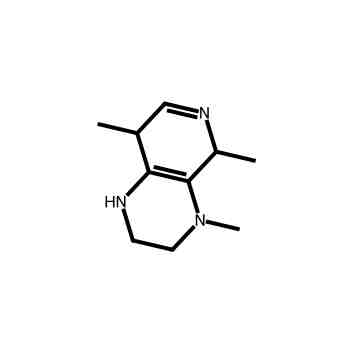 CC1C=NC(C)C2=C1NCCN2C